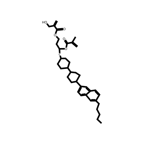 C=C(C)C(=O)OC(CCOC(=O)C(=C)CO)CC1CCC(C2CCC(c3ccc4cc(CCCCC)ccc4c3)CC2)CC1